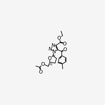 CCOC(=O)c1nnn([C@H]2CC[C@@H](COC(C)=O)O2)c1C(=O)c1ccc(C)cc1